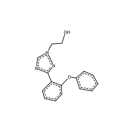 OCCn1cnc(-c2ccccc2Oc2ccccc2)n1